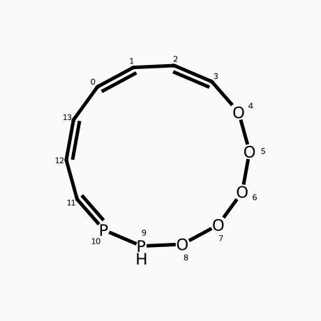 C1=CC=COOOOOPP=CC=C1